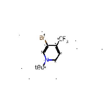 CC(C)(C)N1C=C(Br)C(C(F)(F)F)=CC1